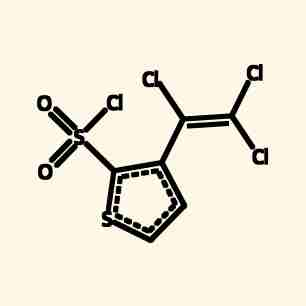 O=S(=O)(Cl)c1sccc1C(Cl)=C(Cl)Cl